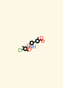 COC(=O)c1ccc(-c2cccc(NS(=O)(=O)c3cc(C)c(Cl)cc3C)c2)cc1C